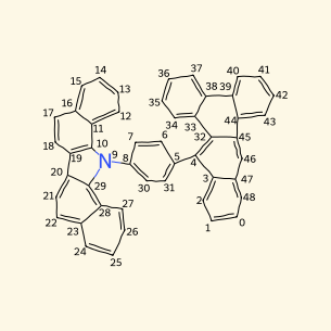 c1ccc2c(-c3ccc(-n4c5c6ccccc6ccc5c5ccc6ccccc6c54)cc3)c3c4ccccc4c4ccccc4c3cc2c1